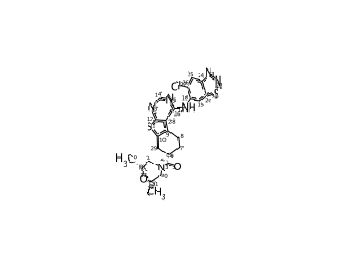 C[C@@H]1CN(C(=O)[C@H]2CCc3c(sc4ncnc(Nc5cc6snnc6cc5Cl)c34)C2)C[C@H](C)O1